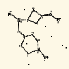 CC(C)O[C@H]1C[C@H](N(CC2CCN(C(C)C)CC2)C(C)C)C1